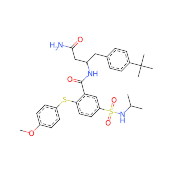 COc1ccc(Sc2ccc(S(=O)(=O)NC(C)C)cc2C(=O)NC(CC(N)=O)Cc2ccc(C(C)(C)C)cc2)cc1